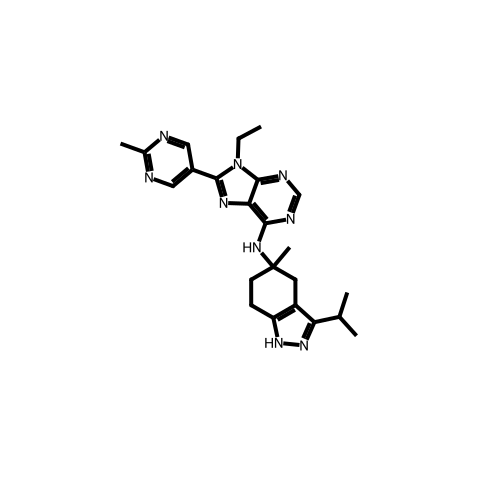 CCn1c(-c2cnc(C)nc2)nc2c(NC3(C)CCc4[nH]nc(C(C)C)c4C3)ncnc21